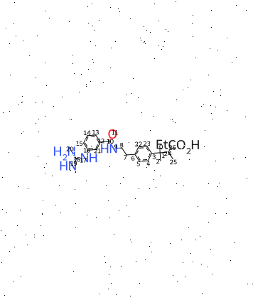 CCC(C)(c1ccc(CCNC(=O)c2cccc(NC(=N)N)c2)cc1)C(C)C(=O)O